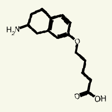 NC1CCc2ccc(OCCCCC(=O)O)cc2C1